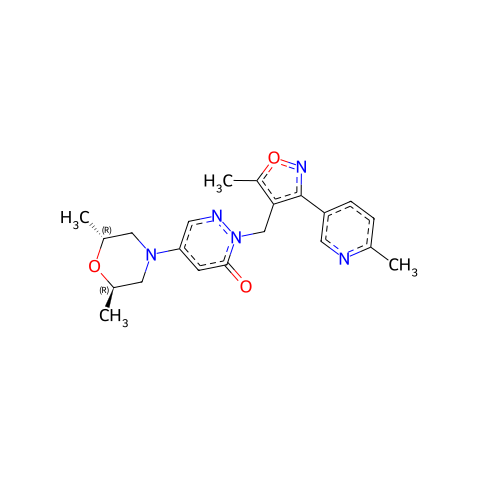 Cc1ccc(-c2noc(C)c2Cn2ncc(N3C[C@@H](C)O[C@H](C)C3)cc2=O)cn1